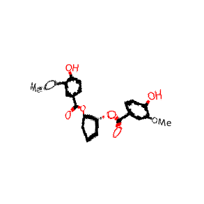 COc1cc(C(=O)O[C@@H]2CCC[C@H]2OC(=O)c2ccc(O)c(OC)c2)ccc1O